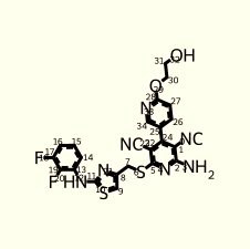 [C-]#[N+]c1c(N)nc(SCc2csc(Nc3cccc(F)c3F)n2)c(C#N)c1-c1ccc(OCCO)nc1